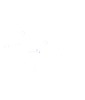 O=C(Cl)c1csc(Cc2ccccc2Cl)n1